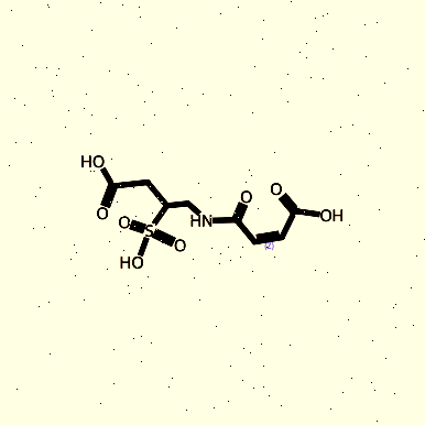 O=C(O)/C=C\C(=O)NCC(CC(=O)O)S(=O)(=O)O